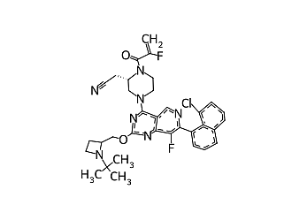 C=C(F)C(=O)N1CCN(c2nc(OCC3CCN3C(C)(C)C)nc3c(F)c(-c4cccc5cccc(Cl)c45)ncc23)C[C@@H]1CC#N